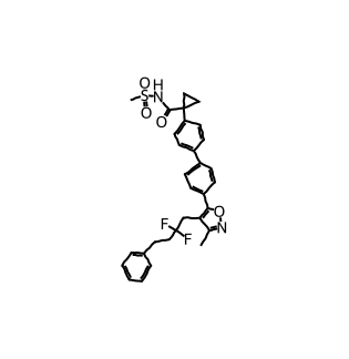 Cc1noc(-c2ccc(-c3ccc(C4(C(=O)NS(C)(=O)=O)CC4)cc3)cc2)c1CC(F)(F)CCc1ccccc1